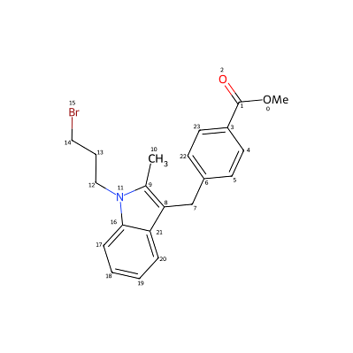 COC(=O)c1ccc(Cc2c(C)n(CCCBr)c3ccccc23)cc1